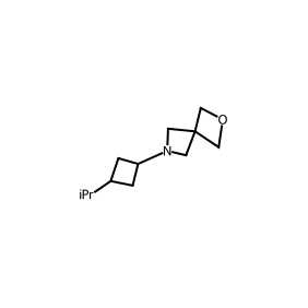 CC(C)C1CC(N2CC3(COC3)C2)C1